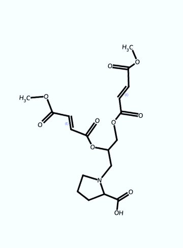 COC(=O)/C=C/C(=O)OCC(CN1CCCC1C(=O)O)OC(=O)/C=C/C(=O)OC